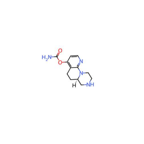 NC(=O)Oc1ccnc2c1CC[C@@H]1CNCCN21